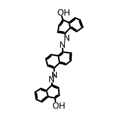 Oc1ccc(N=Nc2cccc3c(N=Nc4ccc(O)c5ccccc45)cccc23)c2ccccc12